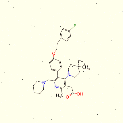 Cc1nc(CN2CCCCC2)c(-c2ccc(OCCc3ccc(F)cc3)cc2)c(N2CCC(C)(C)CC2)c1CC(=O)O